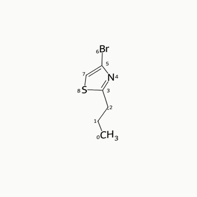 CC[CH]c1nc(Br)cs1